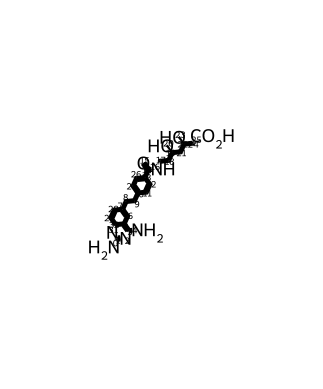 Nc1nc(N)c2cc(CCc3ccc(C(=O)NCC[C@@H](O)C[C@@H](O)CC(=O)O)cc3)ccc2n1